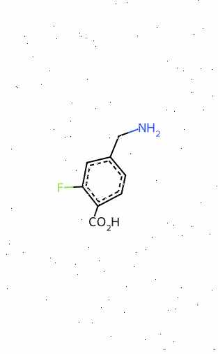 NCc1ccc(C(=O)O)c(F)c1